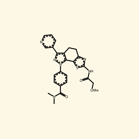 COCC(=O)Nc1nc2c(s1)-c1c(c(-c3cccnc3)nn1-c1ccc(C(=O)N(C)C)cc1)CC2